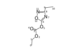 CCOC(=O)Oc1nc(CC)no1